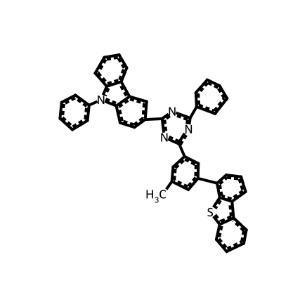 Cc1cc(-c2nc(-c3ccccc3)nc(-c3ccc4c(c3)c3ccccc3n4-c3ccccc3)n2)cc(-c2cccc3c2sc2ccccc23)c1